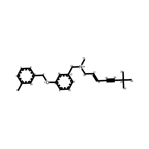 Cc1cccc(COc2cccc(CN(C)C/C=C/C#CC(C)(C)C)c2)c1